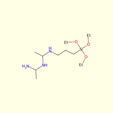 CCO[Si](CCCNC(C)NC(C)N)(OCC)OCC